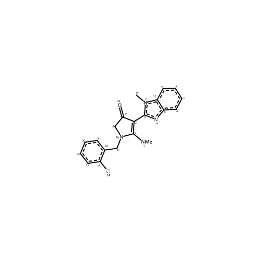 CNC1=C(c2nc3ccccc3n2C)C(=O)CN1Cc1ccccc1Cl